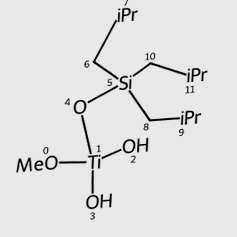 C[O][Ti]([OH])([OH])[O][Si](CC(C)C)(CC(C)C)CC(C)C